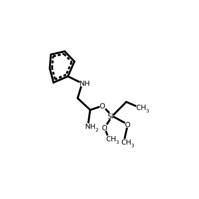 CC[Si](OC)(OC)OC(N)CNc1ccccc1